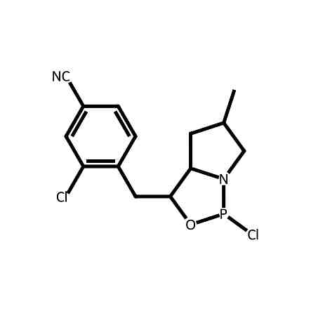 CC1CC2C(Cc3ccc(C#N)cc3Cl)OP(Cl)N2C1